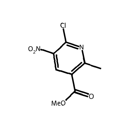 COC(=O)c1cc([N+](=O)[O-])c(Cl)nc1C